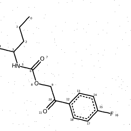 CCCC(C)NC(=O)OCC(=O)c1ccc(F)cc1